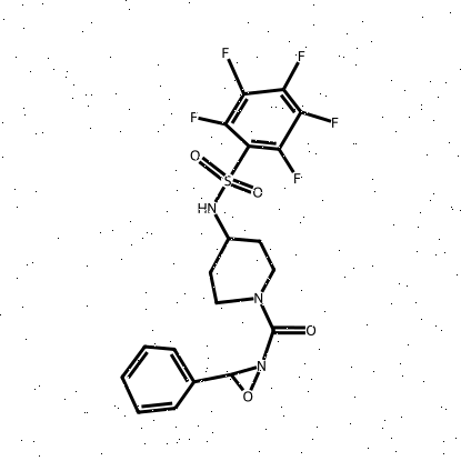 O=C(N1CCC(NS(=O)(=O)c2c(F)c(F)c(F)c(F)c2F)CC1)N1OC1c1ccccc1